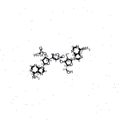 C/C(=C\P(=O)(O)O[C@H]1[C@@H](F)[C@H](n2cnc3c(N)ncnc32)O[C@@H]1CO)[C@H]1O[C@@H](n2cnc3c(N)ncnc32)C[C@@H]1O[PH](=O)O